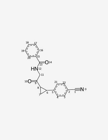 N#Cc1ccc(C2CC2C(=O)CNC(=O)c2ccccc2)cc1